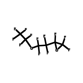 FC(F)(I)C(F)(F)OC(F)(F)C(F)(F)C1(F)OC1(F)F